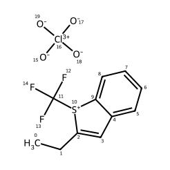 CCc1cc2ccccc2[s+]1C(F)(F)F.[O-][Cl+3]([O-])([O-])[O-]